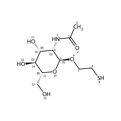 CC(=O)N[C@@H]1[C@@H](OCCS)O[C@H](CO)[C@@H](O)[C@@H]1O